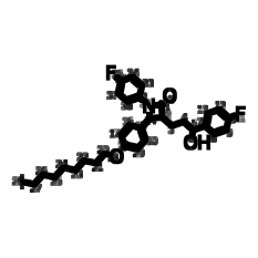 O=C1C(CCC(O)c2ccc(F)cc2)C(c2ccc(OCCCCCCCCI)cc2)N1c1ccc(F)cc1